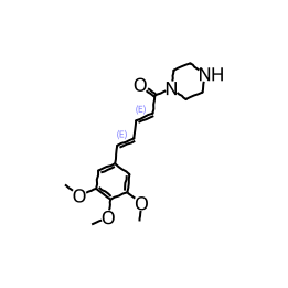 COc1cc(/C=C/C=C/C(=O)N2CCNCC2)cc(OC)c1OC